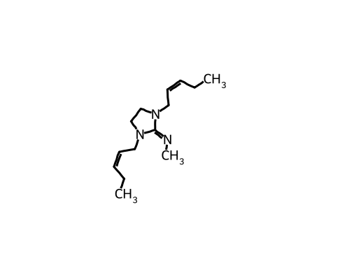 CC/C=C\CN1CCN(C/C=C\CC)C1=NC